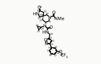 CNC(=O)N1C[C@H](N(C(=O)NCc2cc(-c3cccc(OC(F)(F)F)c3)no2)C2CC2)C[C@]2(CNC(=O)C2)C1